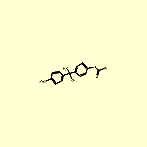 COc1ccc(C(C)(C)c2ccc(OC(=O)C(C)C)cc2)cc1